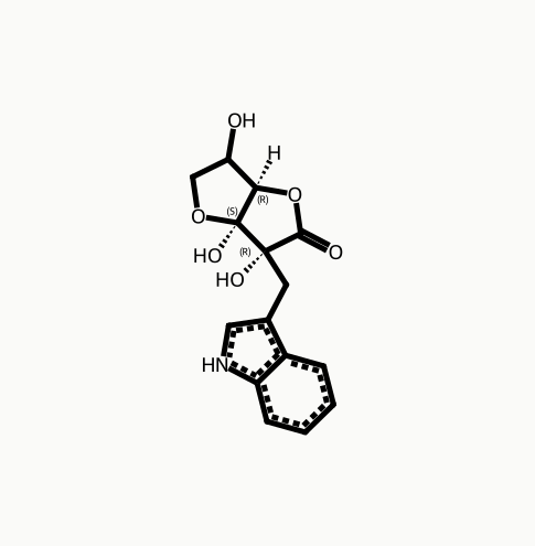 O=C1O[C@@H]2C(O)CO[C@]2(O)[C@]1(O)Cc1c[nH]c2ccccc12